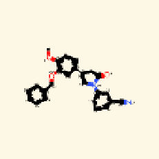 COc1ccc([C@H]2CC(=O)N(c3cccc(C#N)c3)C2)cc1OCc1ccccc1